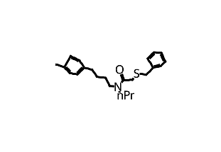 CCCN(CCCCc1ccc(C)cc1)C(=O)CSCc1ccccc1